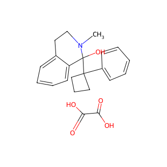 CN1CCc2ccccc2C1(O)C1(c2ccccc2)CCC1.O=C(O)C(=O)O